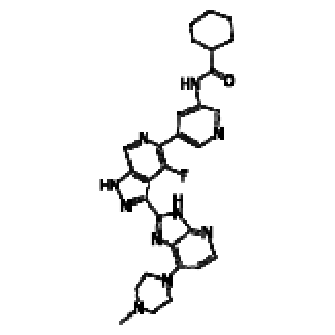 CN1CCN(c2ccnc3[nH]c(-c4n[nH]c5cnc(-c6cncc(NC(=O)C7CCCCC7)c6)c(F)c45)nc23)CC1